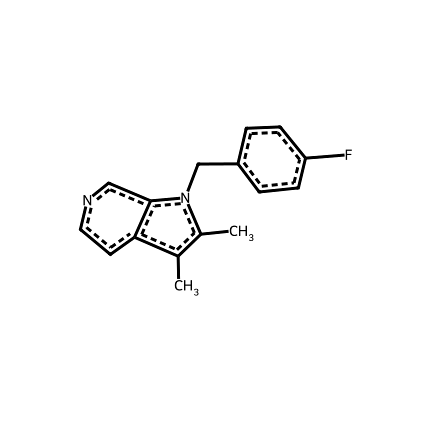 Cc1c(C)n(Cc2ccc(F)cc2)c2cnccc12